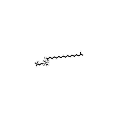 CC(C)CCCCCCCCCCCCCCC(=O)OP(=O)([O-])OCC[N+](C)(C)C